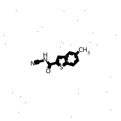 Cc1ccc2sc(C(=O)NC#N)cc2c1